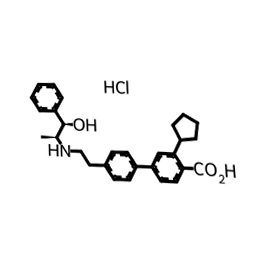 C[C@H](NCCc1ccc(-c2ccc(C(=O)O)c(C3CCCC3)c2)cc1)[C@H](O)c1ccccc1.Cl